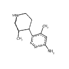 Cc1cc(N)nnc1C1CCNCC1C